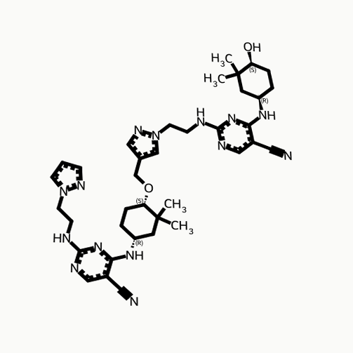 CC1(C)C[C@H](Nc2nc(NCCn3cccn3)ncc2C#N)CC[C@@H]1OCc1cnn(CCNc2ncc(C#N)c(N[C@@H]3CC[C@H](O)C(C)(C)C3)n2)c1